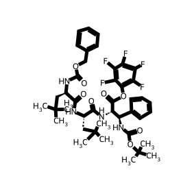 CC(C)(C)C[C@H](NC(=O)[C@@H](CC(C)(C)C)NC(=O)OCc1ccccc1)C(=O)N[C@H](C(=O)Oc1c(F)c(F)c(F)c(F)c1F)[C@H](NC(=O)OC(C)(C)C)c1ccccc1